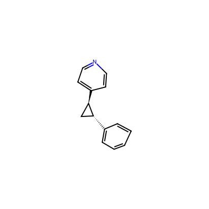 c1ccc([C@@H]2C[C@H]2c2ccncc2)cc1